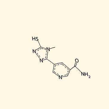 Cn1c(S)nnc1-c1cncc(C(N)=O)c1